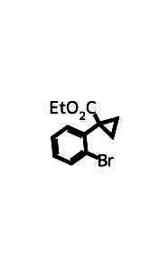 CCOC(=O)C1(c2ccccc2Br)CC1